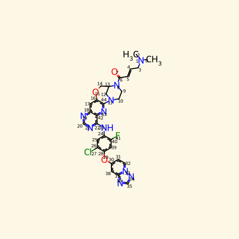 CN(C)C/C=C/C(=O)N1CCN2CC1COc1cc3ncnc(Nc4cc(Cl)c(Oc5ccn6ncnc6c5)cc4F)c3nc12